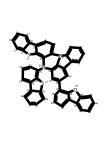 c1ccc2c(c1)B1c3ccc4c(sc5ccccc54)c3N(c3cccc4c3sc3ccccc34)c3cc(-c4cccc5c4oc4ccccc45)cc-2c31